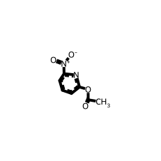 CC(=O)Oc1cccc([N+](=O)[O-])n1